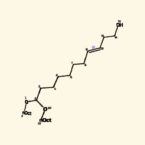 CCCCCCCCOC(CCCCCC/C=C/CCO)OCCCCCCCC